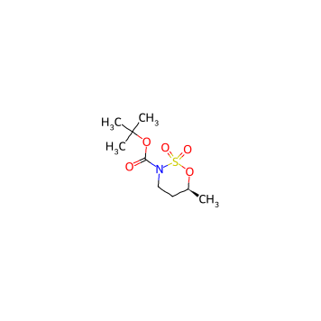 C[C@H]1CCN(C(=O)OC(C)(C)C)S(=O)(=O)O1